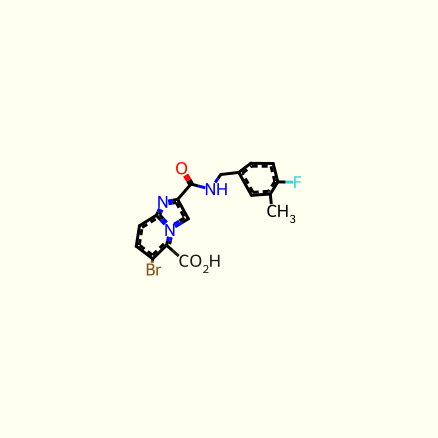 Cc1cc(CNC(=O)c2cn3c(C(=O)O)c(Br)ccc3n2)ccc1F